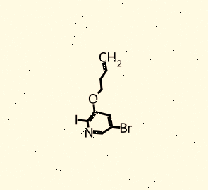 C=CCCOc1cc(Br)cnc1I